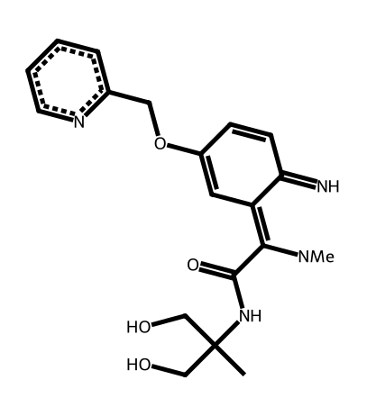 CN/C(C(=O)NC(C)(CO)CO)=C1/C=C(OCc2ccccn2)C=CC1=N